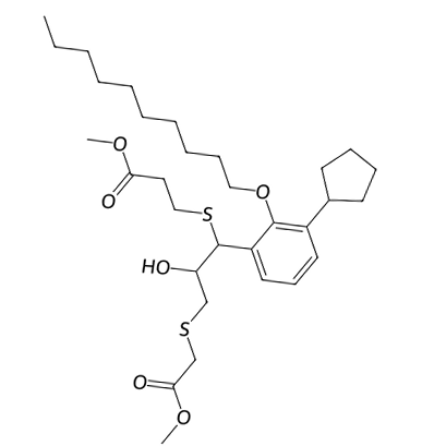 CCCCCCCCCCOc1c(C2CCCC2)cccc1C(SCCC(=O)OC)C(O)CSCC(=O)OC